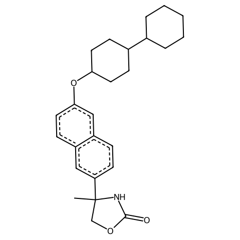 CC1(c2ccc3cc(OC4CCC(C5CCCCC5)CC4)ccc3c2)COC(=O)N1